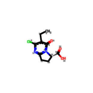 CCc1c(Cl)nc2n(c1=O)[C@H](C(=O)O)CC2